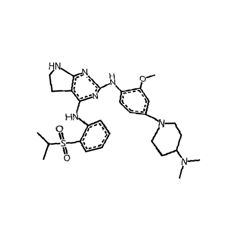 COc1cc(N2CCC(N(C)C)CC2)ccc1Nc1nc2c(c(Nc3ccccc3S(=O)(=O)C(C)C)n1)CCN2